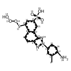 Cc1cc(-n2nc3ccc4c(SOOO)cc(S(=O)(=O)O)cc4c3n2)ccc1N